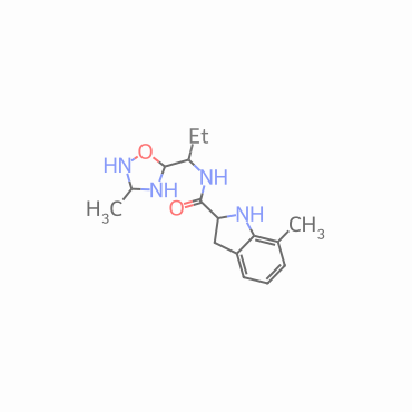 CCC(NC(=O)C1Cc2cccc(C)c2N1)C1NC(C)NO1